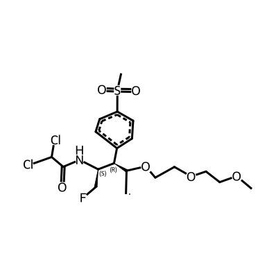 [CH2]C(OCCOCCOC)[C@H](c1ccc(S(C)(=O)=O)cc1)[C@@H](CF)NC(=O)C(Cl)Cl